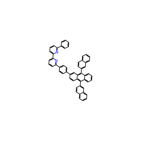 c1ccc(-c2cccc(-c3cccc(-c4ccc(-c5ccc6c(-c7ccc8ccccc8c7)c7ccccc7c(-c7ccc8ccccc8c7)c6c5)cc4)n3)n2)cc1